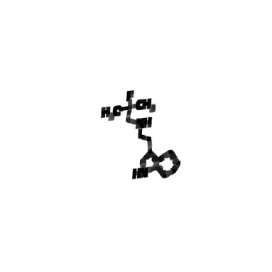 CC(C)(F)CNCCc1c[nH]c2ccccc12